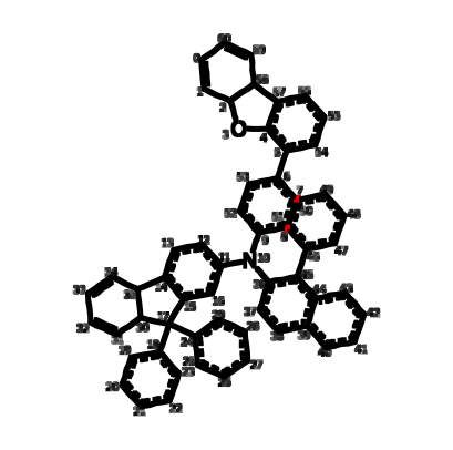 C1=CC2Oc3c(-c4ccc(N(c5ccc6c(c5)C(c5ccccc5)(c5ccccc5)C5C=CC=CC65)c5ccc6ccccc6c5-c5ccccc5)cc4)cccc3C2C=C1